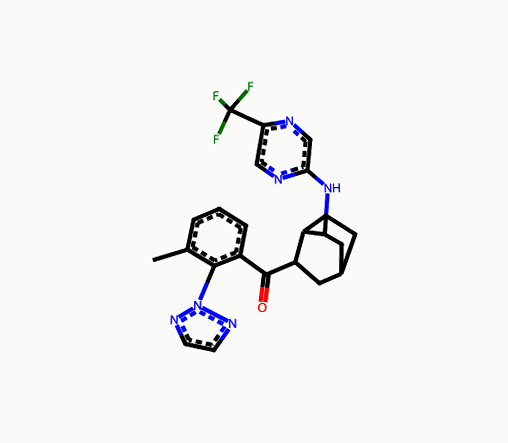 Cc1cccc(C(=O)C2CC3CCC2C(Nc2cnc(C(F)(F)F)cn2)C3)c1-n1nccn1